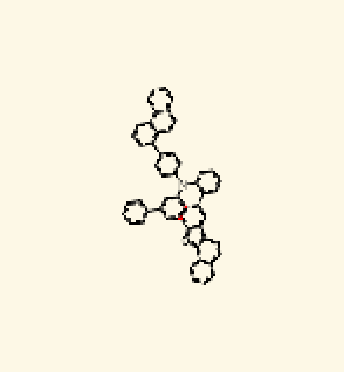 c1ccc(-c2cccc(N(c3ccc(-c4cccc5c4ccc4ccccc45)cc3)c3ccccc3-c3ccc4oc5c6ccccc6ccc5c4c3)c2)cc1